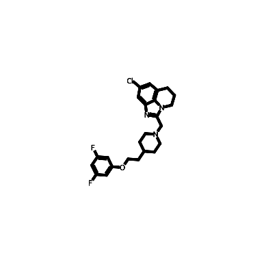 Fc1cc(F)cc(OCCC2CCN(Cc3nc4cc(Cl)cc5c4n3CCC5)CC2)c1